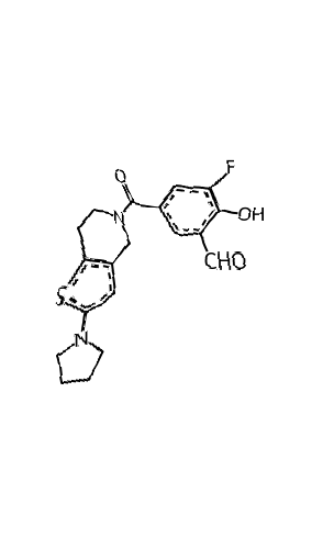 O=Cc1cc(C(=O)N2CCc3sc(N4CCCC4)cc3C2)cc(F)c1O